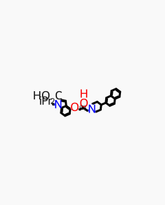 CC(C)Cn1c(C(=O)O)cc2c(OC[C@@H](O)CN3CCC(c4ccc5ccccc5c4)CC3)cccc21